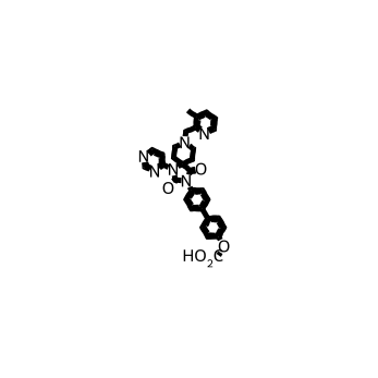 Cc1cccnc1CN1CCC2(CC1)C(=O)N(c1ccc(-c3ccc(OC(=O)O)cc3)cc1)C(=O)N2c1ccncn1